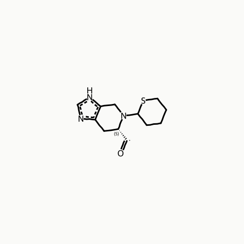 O=[C][C@@H]1Cc2nc[nH]c2CN1C1CCCCS1